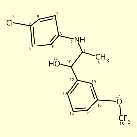 CC(Nc1ccc(Cl)cc1)C(O)c1cccc(OC(F)(F)F)c1